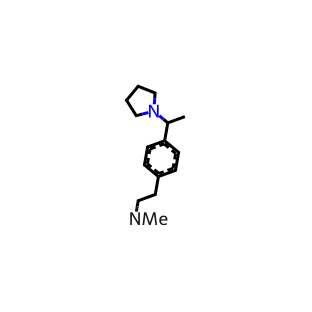 CNCCc1ccc(C(C)N2CCCC2)cc1